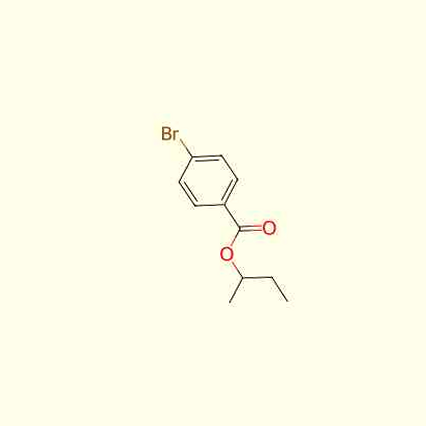 CCC(C)OC(=O)c1ccc(Br)cc1